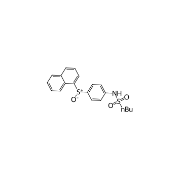 CCCCS(=O)(=O)Nc1ccc([S+]([O-])c2cccc3ccccc23)cc1